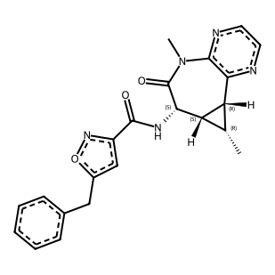 C[C@H]1[C@H]2c3nccnc3N(C)C(=O)[C@@H](NC(=O)c3cc(Cc4ccccc4)on3)[C@@H]12